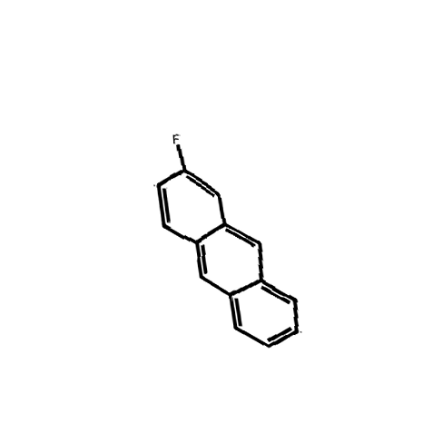 Fc1[c]cc2cc3cc[c]cc3cc2c1